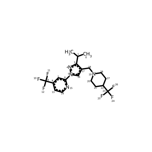 CC(C)c1nn(-c2cc(C(F)(F)F)ccn2)cc1CN1CCC(C(F)(F)F)CC1